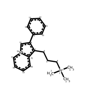 C[N+](C)(C)CCCc1c(-c2ccccc2)cn2ccccc12